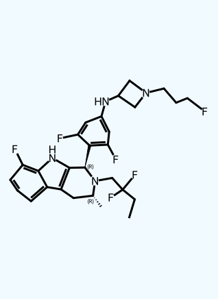 CCC(F)(F)CN1[C@H](c2c(F)cc(NC3CN(CCCF)C3)cc2F)c2[nH]c3c(F)cccc3c2C[C@H]1C